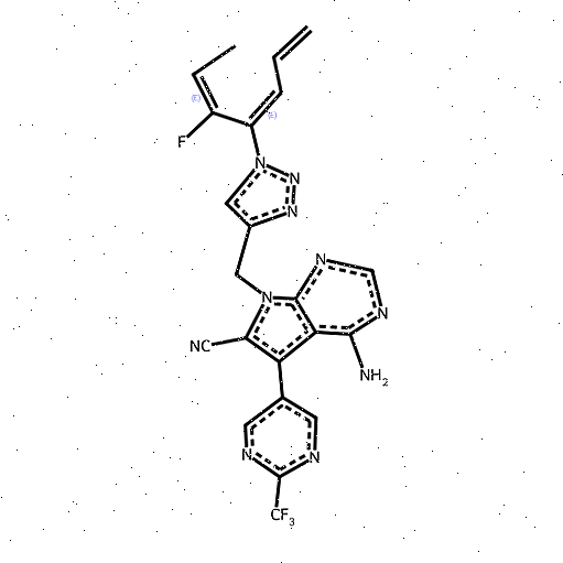 C=C/C=C(\C(F)=C/C)n1cc(Cn2c(C#N)c(-c3cnc(C(F)(F)F)nc3)c3c(N)ncnc32)nn1